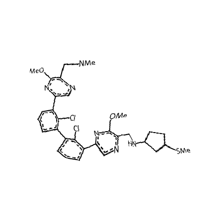 CNCc1ncc(-c2cccc(-c3cccc(-c4cnc(CNC5CCC(SC)C5)c(OC)n4)c3Cl)c2Cl)nc1OC